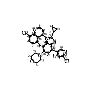 Fc1ccc(Cl)c2nccc(-n3c(C4CC4)nc4c(-c5cnc(Cl)[nH]5)cc(N5CCOCC5)cc43)c12